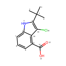 CC(C)(C)c1[nH]c2cccc(C(=O)O)c2c1Cl